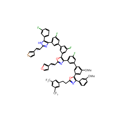 COc1cccc(-c2nc(CCc3cc(C(F)(F)F)cc(C(F)(F)F)c3)oc2-c2cc(OC)cc(-c3cc(F)cc(-c4nc(/C=C/c5ccoc5)oc4-c4cc(F)cc(-c5cc(F)cc(-c6nc(/C=C/c7ccsc7)[nH]c6-c6cccc(F)c6)c5)c4)c3)c2)c1